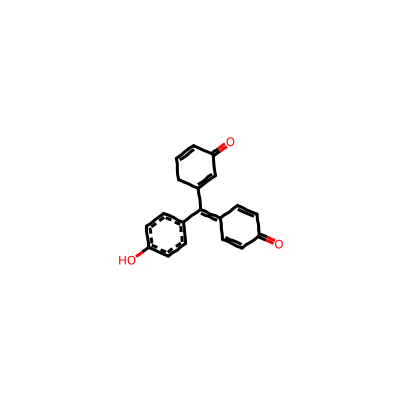 O=C1C=CC(=C(C2=CC(=O)C=CC2)c2ccc(O)cc2)C=C1